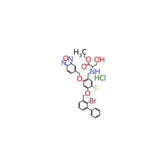 CCOC(=O)C(CO)NCc1cc(F)c(OCc2cccc(-c3ccccc3)c2Br)cc1OCc1ccc2nonc2c1.Cl